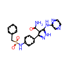 NC(=O)c1c(-c2ccc(NS(=O)(=O)Cc3ccccc3)cc2)n[nH]c1Nc1cnccn1